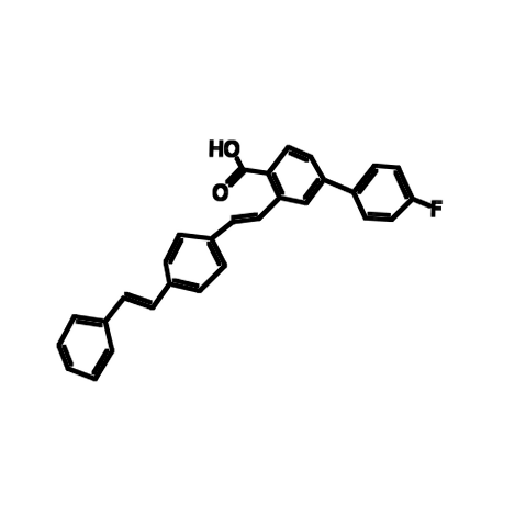 O=C(O)c1ccc(-c2ccc(F)cc2)cc1/C=C/c1ccc(/C=C/c2ccccc2)cc1